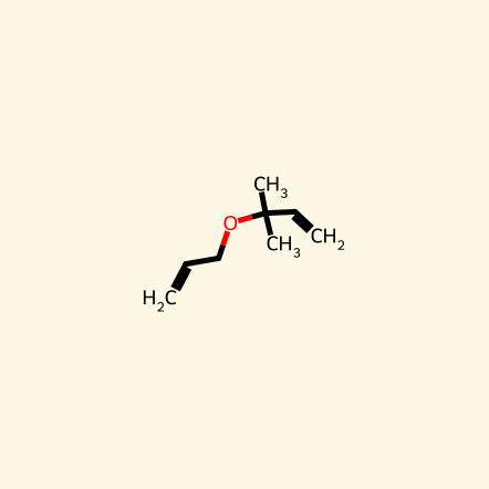 C=CCOC(C)(C)C=C